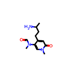 CC(N)CCc1cc(=O)n(C)cc1N(C)C=O